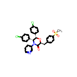 CS(=O)(=O)c1ccc(C[C@@H]2O[C@@H](c3ccc(Cl)cc3)[C@@H](c3ccc(Cl)cc3)N(c3cccnc3)C2=O)cc1